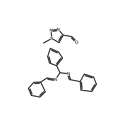 C(=NC(N=Cc1ccccc1)c1ccccc1)c1ccccc1.Cn1cc(C=O)nn1